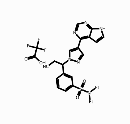 CCN(CC)S(=O)(=O)c1cccc(C(CC#N)n2cc(-c3ncnc4[nH]ccc34)cn2)c1.O=C(O)C(F)(F)F